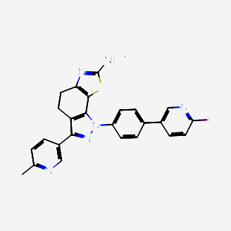 CC(=O)Nc1nc2c(s1)-c1c(c(-c3ccc(C)nc3)nn1-c1ccc(-c3ccc(I)nc3)cc1)CC2